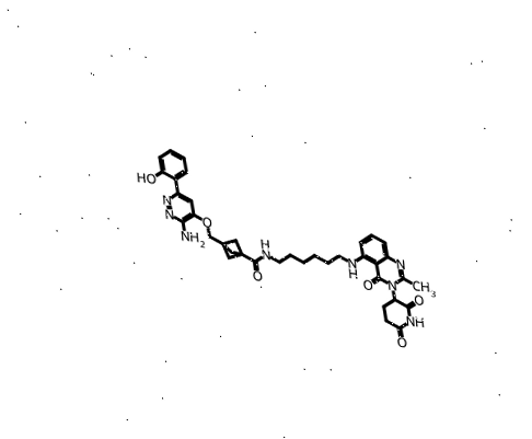 Cc1nc2cccc(NCCCCCCNC(=O)C34CC(COc5cc(-c6ccccc6O)nnc5N)(C3)C4)c2c(=O)n1C1CCC(=O)NC1=O